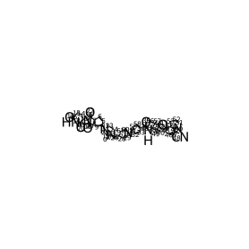 C[C@H]1CN(c2ccc3c(c2)C(=O)N(C2CCC(=O)NC2=O)C3=O)CCN1CC1CCN(c2ccc(C(=O)N[C@H]3C(C)(C)[C@H](Oc4ccc(C#N)c5ncccc45)C3(C)C)cc2)CC1